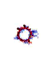 CCCC[C@H]1C(=O)N(C)[C@@H](CCCC)C(=O)N[C@@H](CCCNC(=N)N)C(=O)N[C@H](C(=O)NCC(N)=O)CSCC(=O)N[C@@H](Cc2ccc(O)cc2)C(=O)N(C)[C@@H](C)C(=O)N[C@@H](CCN)C(=O)N2CCC[C@H]2C(=O)N[C@@H](Cc2c[nH]cn2)C(=O)N[C@@H](CC(C)C)C(=O)N2CCC[C@H]2C(=O)N[C@@H](Cc2c[nH]c3ccccc23)C(=O)N[C@@H](CO)C(=O)N[C@@H](Cc2c[nH]c3ccccc23)C(=O)N1C